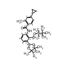 Cc1cc(C2CC2)ccc1C(=O)Nc1cccc(B2OC(C)(C)C(C)(C)O2)c1CO[Si](C)(C)C(C)(C)C